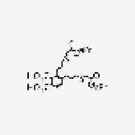 CCCOC(=O)CSCCCc1ccc(C(=O)O)c(C(=O)O)c1CCCSCC(=O)OCCC